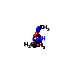 CCN1CCN(CCOc2ccc3cc2OCC/C=C\CN(C(=O)Oc2c(C)cccc2C)c2ccnc(n2)N3)CC1